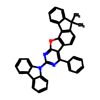 CC1(C)c2ccccc2-c2c1ccc1c2oc2nc(-n3c4ccccc4c4ccccc43)nc(-c3ccccc3)c21